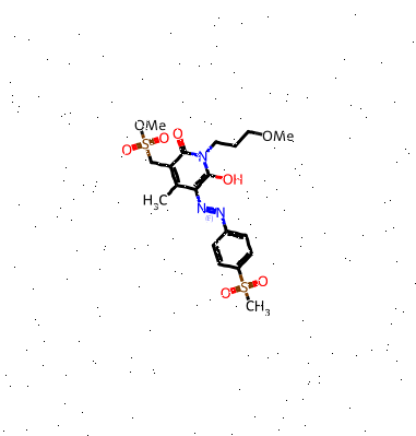 COCCCn1c(O)c(/N=N/c2ccc(S(C)(=O)=O)cc2)c(C)c(CS(=O)(=O)OC)c1=O